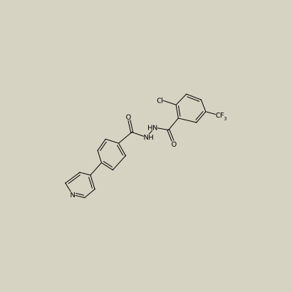 O=C(NNC(=O)c1cc(C(F)(F)F)ccc1Cl)c1ccc(-c2ccncc2)cc1